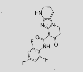 O=C1CCn2c(nc3c2=CC=CN3)=C1C(=O)Nc1c(F)cc(F)cc1F